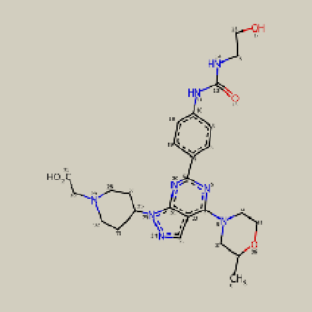 CC1CN(c2nc(-c3ccc(NC(=O)NCCO)cc3)nc3c2cnn3C2CCN(CC(=O)O)CC2)CCO1